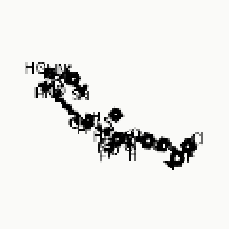 Cc1ncsc1-c1ccc([C@H](C)NC(=O)[C@@H]2C[C@@H](O)CN2C(=O)[C@@H](NC(=O)CCCCCCC(=O)N2C[C@@H]3C[C@H]2CN3CC[C@H](CSc2ccccc2)Nc2ccc(S(=O)(=O)NC(=O)c3ccc(N4CCN(CC5=C(c6ccc(Cl)cc6F)CCC6(CC6)C5)CC4)cc3)cc2S(=O)(=O)C(F)(F)F)C(C)(C)C)cc1